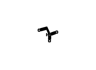 O=C[SH](=O)=O